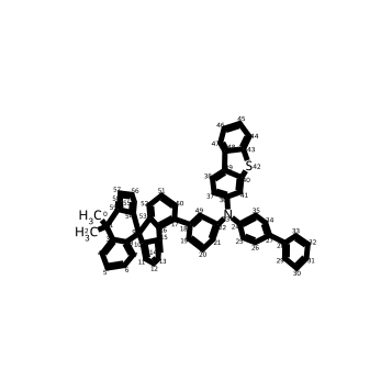 CC1(C)c2ccccc2C2(c3ccccc3-c3c(-c4cccc(N(c5ccc(-c6ccccc6)cc5)c5ccc6c(c5)sc5ccccc56)c4)cccc32)c2ccccc21